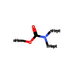 CCCCCCCN(CCCCCCC)C(=O)OCCCCCC